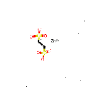 O=S(=O)([O-])CCS(=O)(=O)[O-].[Zn+2]